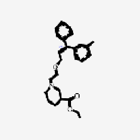 CCOC(=O)C1CCCN(CCOC/C=C(/c2ccccc2)c2cccc(C)c2)C1